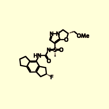 COC[C@H]1Cn2ncc([S@@](C)(=O)=NC(=O)Nc3c4c(cc5c3C[C@H](F)C5)CCC4)c2O1